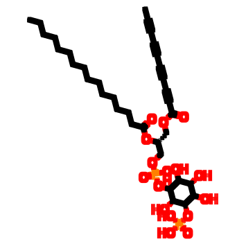 CC#CC#CC#CC#CC(=O)OC[C@H](COP(=O)(O)OC1C(O)[C@@H](O)C(O)[C@@H](OP(=O)(O)O)[C@H]1O)OC(=O)CCCCCCCCCCCCCCC